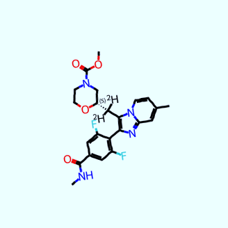 [2H]C([2H])(c1c(-c2c(F)cc(C(=O)NC)cc2F)nc2cc(C)ccn12)[C@H]1CN(C(=O)OC)CCO1